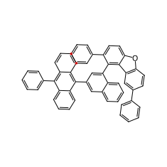 c1ccc(-c2ccc3oc4ccc(-c5ccccc5)c(-c5cc(-c6c7ccccc7c(-c7ccccc7)c7ccccc67)cc6ccccc56)c4c3c2)cc1